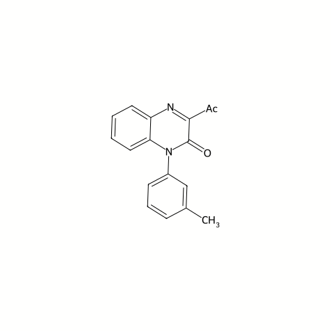 CC(=O)c1nc2ccccc2n(-c2cccc(C)c2)c1=O